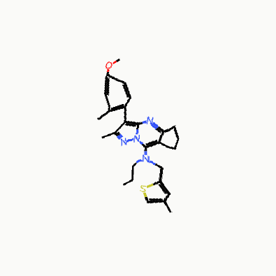 CCCN(Cc1cc(C)cs1)c1c2c(nc3c(-c4ccc(OC)cc4C)c(C)nn13)CCC2